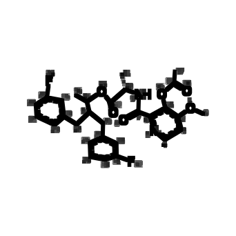 COc1ccnc(C(=O)N[C@@H](C)C(=O)OC(C)C(Cc2cccc(F)c2)Cc2cccc(F)c2)c1OC(C)=O